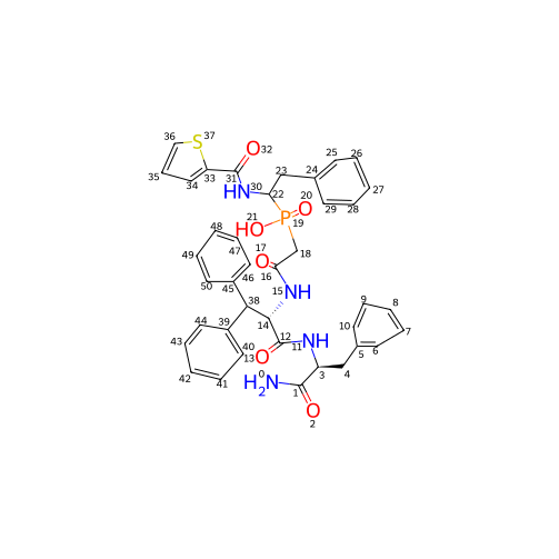 NC(=O)[C@H](Cc1ccccc1)NC(=O)[C@@H](NC(=O)CP(=O)(O)C(Cc1ccccc1)NC(=O)c1cccs1)C(c1ccccc1)c1ccccc1